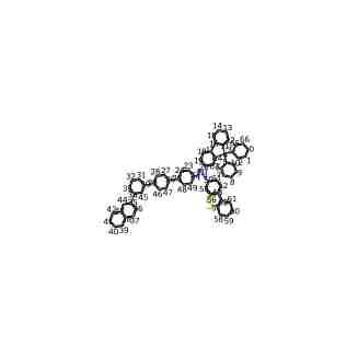 c1ccc(C2(c3ccccc3)c3ccccc3-c3ccc(N(c4ccc(-c5ccc(-c6cccc(-c7ccc8ccccc8c7)c6)cc5)cc4)c4ccc5c(c4)sc4ccccc45)cc32)cc1